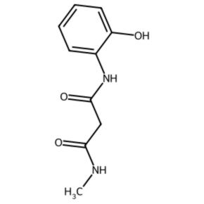 CNC(=O)CC(=O)Nc1ccccc1O